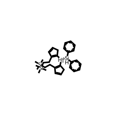 C[Si](C)(C)CCC1=[C]([Hf]([C]2=C(CC[Si](C)(C)C)C=CC2)[SiH](c2ccccc2)c2ccccc2)CC=C1